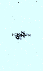 CS(=O)(=O)CC(NC(=O)c1ccccc1C(=O)O)C(=O)NCCC#N